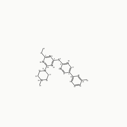 CCc1nc(Sc2ncc(-c3cccc(C)c3)cn2)nc(N2CCN(C)CC2)n1